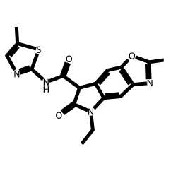 CCN1C(=O)C(C(=O)Nc2ncc(C)s2)c2cc3oc(C)nc3cc21